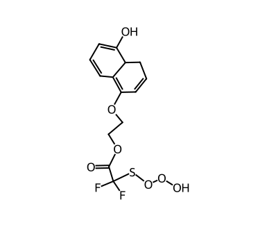 O=C(OCCOC1=C2C=CC=C(O)C2CC=C1)C(F)(F)SOOO